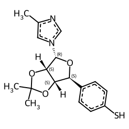 Cc1cn([C@@H]2O[C@@H](c3ccc(S)cc3)[C@@H]3OC(C)(C)O[C@@H]32)cn1